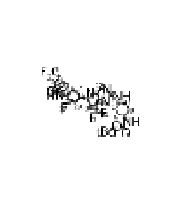 CC(C)(C)OC(=O)NC1CCC(Nc2ncc3nc(-c4ccc(NS(=O)(=O)CCC(F)(F)F)c(F)c4)cc(C(F)F)c3n2)CC1